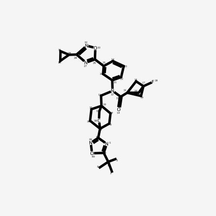 CC(C)(C)c1nc(C23CCC(CN(C(=O)C45CC(F)(C4)C5)c4cccc(-c5nc(C6CC6)no5)c4)(CC2)CC3)no1